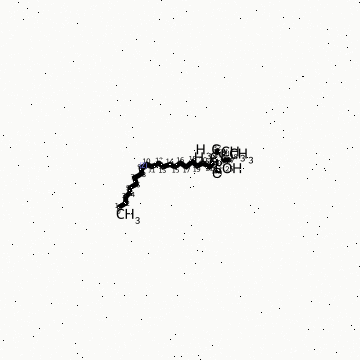 CCCCCCCCC/C=C\CCCCCCCCCCCOP(=O)(O)C(CC)[N+](C)(C)C